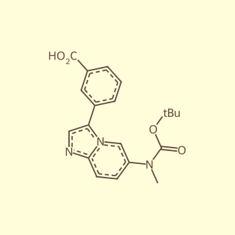 CN(C(=O)OC(C)(C)C)c1ccc2ncc(-c3cccc(C(=O)O)c3)n2c1